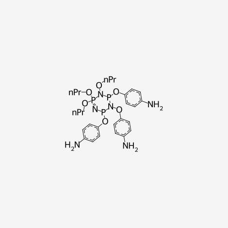 CCCON1P(Oc2ccc(N)cc2)N(Oc2ccc(N)cc2)P(Oc2ccc(N)cc2)N=P1(OCCC)OCCC